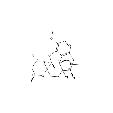 COc1ccc2c3c1O[C@H]1C4(CCC5(O)[C@@H](C2)N(C)CC[C@]315)O[C@@H](C)C[C@H](C)O4